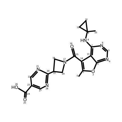 Cc1oc2ncnc(NC3(C)CC3)c2c1C(=O)N1CC(c2ncc(C(=O)O)cn2)C1